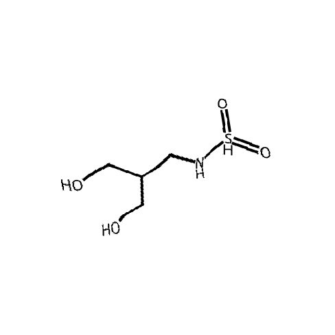 O=[SH](=O)NCC(CO)CO